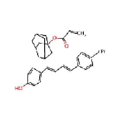 C=CC(=O)OC12CC3CC(CC(C3)C1)C2.CCCc1ccc(C=CC=Cc2ccc(O)cc2)cc1